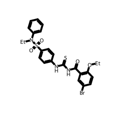 CCOc1ccc(Br)cc1C(=O)NC(=S)Nc1ccc(S(=O)(=O)N(CC)c2ccccc2)cc1